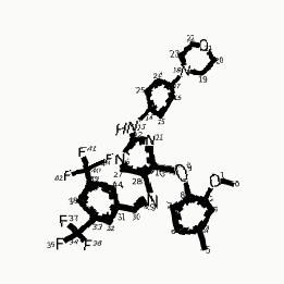 COc1cc(C)ccc1Oc1nc(Nc2ccc(N3CCOCC3)cc2)ncc1N=Cc1cc(C(F)(F)F)cc(C(F)(F)F)c1